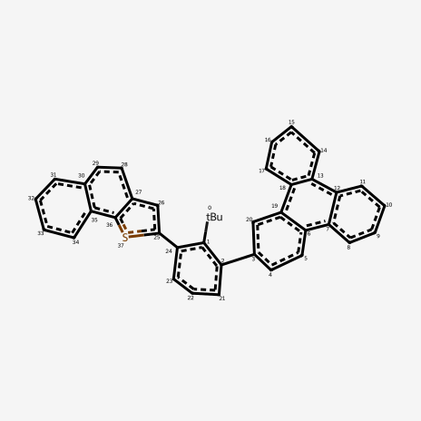 CC(C)(C)c1c(-c2ccc3c4ccccc4c4ccccc4c3c2)cccc1-c1cc2ccc3ccccc3c2s1